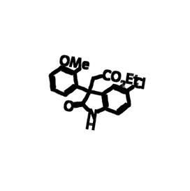 CCOC(=O)CC1(c2ccccc2OC)C(=O)Nc2ccc(Cl)cc21